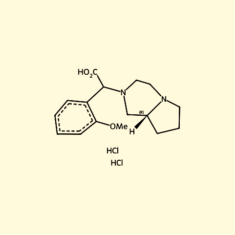 COc1ccccc1C(C(=O)O)N1CCN2CCC[C@@H]2C1.Cl.Cl